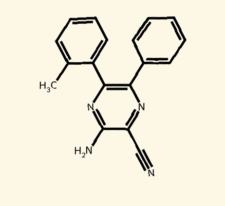 Cc1ccccc1-c1nc(N)c(C#N)nc1-c1ccccc1